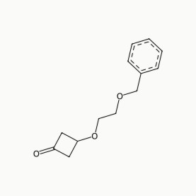 O=C1CC(OCCOCc2ccccc2)C1